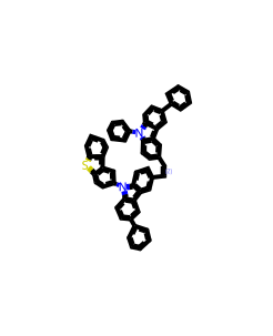 C(=C/c1ccc2c(c1)c1cc(-c3ccccc3)ccc1n2-c1ccc2sc3ccccc3c2c1)/c1ccc2c(c1)c1cc(-c3ccccc3)ccc1n2-c1ccccc1